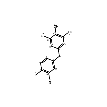 Cc1cc(Cc2ccc(Cl)c(Cl)c2)cc(Cl)c1O